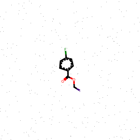 O=C(OCI)c1ccc(F)cc1